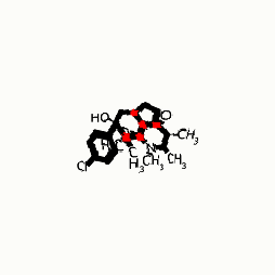 CC([C@@H](C)C(=O)N1CC[C@](O)(c2ccc(Cl)cc2)C(C)(C)C1)N(C)C(=O)C1CCCC1